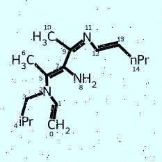 C=CN(CC(C)C)/C(C)=C(N)/C(C)=N\C=C\CCC